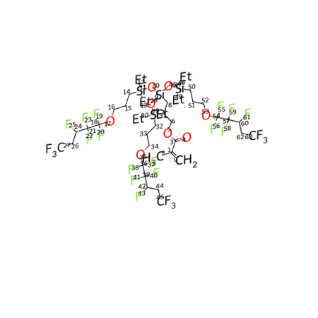 C=C(C)C(=O)OCCC[Si](O[Si](CC)(CC)CCCOC(F)(F)C(F)(F)C(F)CC(F)(F)F)(O[Si](CC)(CC)CCCOC(F)(F)C(F)(F)C(F)CC(F)(F)F)O[Si](CC)(CC)CCCOC(F)(F)C(F)(F)C(F)CC(F)(F)F